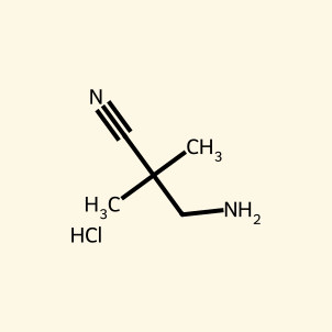 CC(C)(C#N)CN.Cl